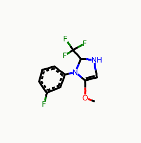 COC1=CNC(C(F)(F)F)N1c1cccc(F)c1